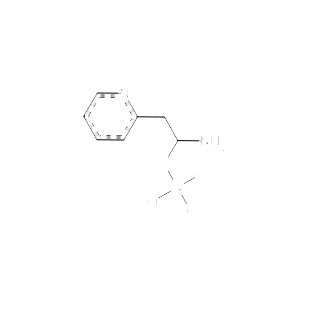 CC(C)(C)[Si](C)(C)OC(N)Cc1ccccn1